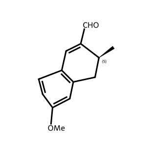 COc1ccc2c(c1)C[C@H](C)C(C=O)=C2